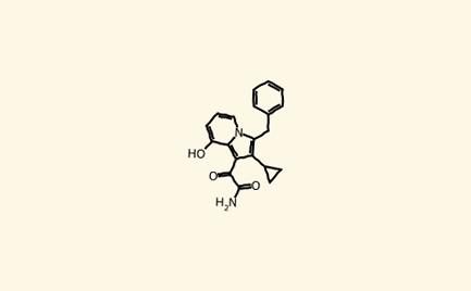 NC(=O)C(=O)c1c(C2CC2)c(Cc2ccccc2)n2cccc(O)c12